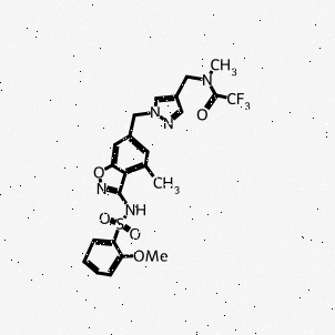 COc1ccccc1S(=O)(=O)Nc1noc2cc(Cn3cc(CN(C)C(=O)C(F)(F)F)cn3)cc(C)c12